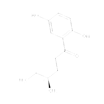 CC[C@H](C)CCC(=O)c1cc(O)ccc1O